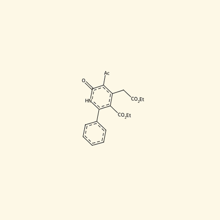 CCOC(=O)Cc1c(C(=O)OCC)c(-c2ccccc2)[nH]c(=O)c1C(C)=O